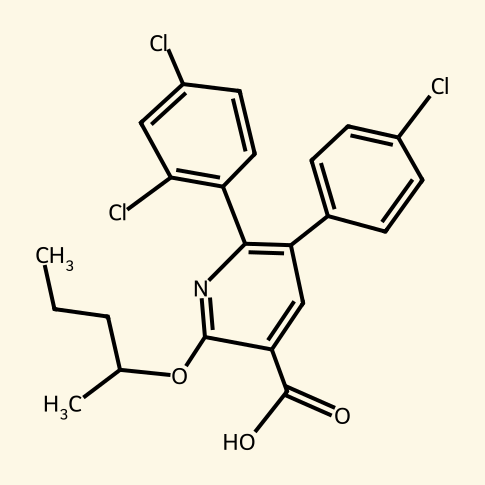 CCCC(C)Oc1nc(-c2ccc(Cl)cc2Cl)c(-c2ccc(Cl)cc2)cc1C(=O)O